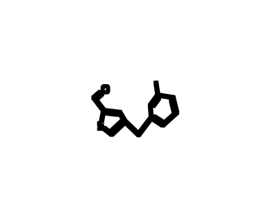 Cc1cccc(Cc2csc(C=O)c2)c1